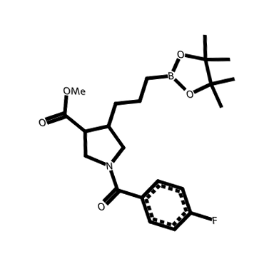 COC(=O)C1CN(C(=O)c2ccc(F)cc2)CC1CCCB1OC(C)(C)C(C)(C)O1